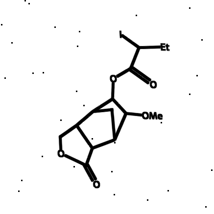 CCC(I)C(=O)OC1C2CC(C1OC)C1C(=O)OCC21